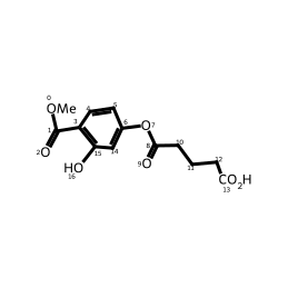 COC(=O)c1ccc(OC(=O)CCCC(=O)O)cc1O